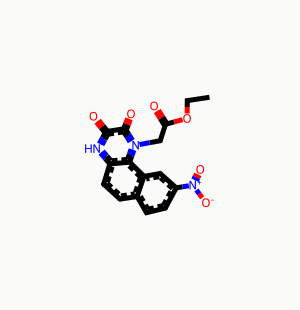 CCOC(=O)Cn1c(=O)c(=O)[nH]c2ccc3ccc([N+](=O)[O-])cc3c21